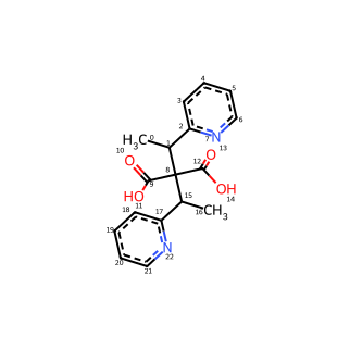 CC(c1ccccn1)C(C(=O)O)(C(=O)O)C(C)c1ccccn1